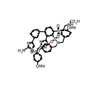 COc1ccc(CN(Cc2ccc(OC)cc2)S(=O)(=O)c2c(S(=O)(=O)CCNC(=O)O)ccc(-c3cccc(-c4c[nH]c(N)n4)c3)c2-c2nnn(Cc3ccc(OC)cc3)n2)cc1